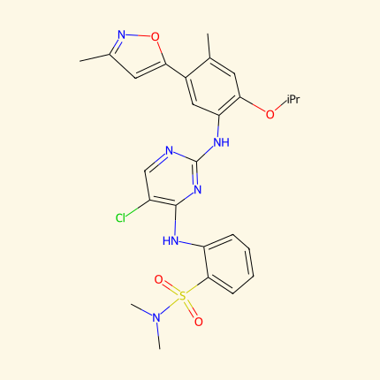 Cc1cc(-c2cc(Nc3ncc(Cl)c(Nc4ccccc4S(=O)(=O)N(C)C)n3)c(OC(C)C)cc2C)on1